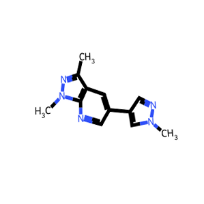 Cc1nn(C)c2ncc(-c3cnn(C)c3)cc12